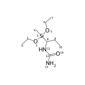 CCO[Si](C)(OCC)C(CC)NC(N)=O